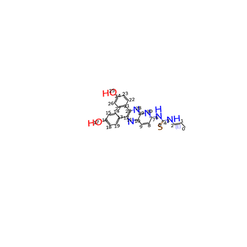 C/C=C/NC(=S)Nc1ccc2nc(-c3ccc(O)cc3)c(-c3ccc(O)cc3)nc2n1